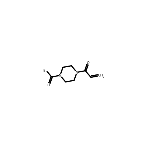 C=CC(=O)N1CCN(C(=O)CC)CC1